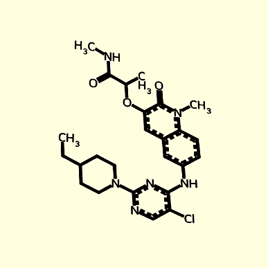 CCC1CCN(c2ncc(Cl)c(Nc3ccc4c(c3)cc(OC(C)C(=O)NC)c(=O)n4C)n2)CC1